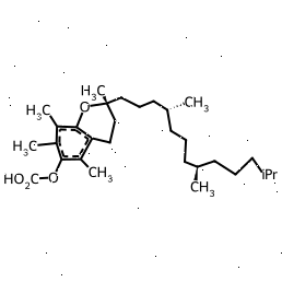 Cc1c(C)c2c(c(C)c1OC(=O)O)CC[C@@](C)(CCC[C@H](C)CCC[C@H](C)CCCC(C)C)O2